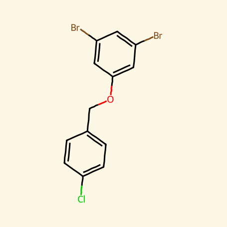 Clc1ccc(COc2cc(Br)cc(Br)c2)cc1